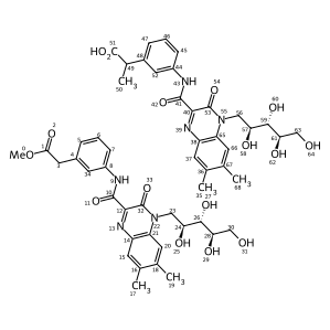 COC(=O)Cc1cccc(NC(=O)c2nc3cc(C)c(C)cc3n(C[C@H](O)[C@H](O)[C@H](O)CO)c2=O)c1.Cc1cc2nc(C(=O)Nc3cccc(C(C)C(=O)O)c3)c(=O)n(C[C@H](O)[C@H](O)[C@H](O)CO)c2cc1C